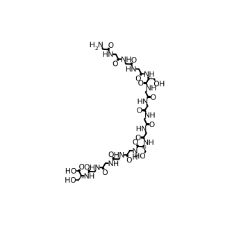 NCC(=O)NCC(=O)NCC(=O)NCC(=O)N[C@@H](CO)C(=O)NCC(=O)NCC(=O)NCC(=O)NCC(=O)N[C@@H](CO)C(=O)NCC(=O)NCC(=O)NCC(=O)NCC(=O)N[C@@H](CO)C(=O)O